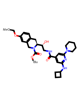 COCOc1ccc2c(c1)CN(C(=O)OC(C)(C)C)[C@H]([C@H](O)CNC(=O)c1cc(NC3CCC3)nc(N3CCCCC3)c1)C2